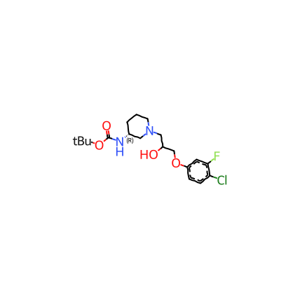 CC(C)(C)OC(=O)N[C@@H]1CCCN(CC(O)COc2ccc(Cl)c(F)c2)C1